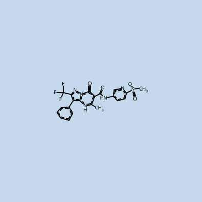 Cc1[nH]c2c(-c3ccccc3)c(C(F)(F)F)nn2c(=O)c1C(=O)Nc1ccc(S(C)(=O)=O)nc1